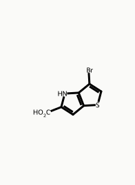 O=C(O)c1cc2scc(Br)c2[nH]1